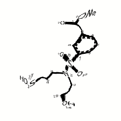 COC(=O)c1cccc(S(=O)(=O)N(CCO)CCS(=O)(=O)O)c1